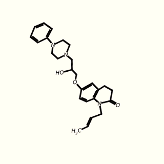 CC=CCN1C(=O)CCc2cc(OCC(O)CN3CCN(c4ccccc4)CC3)ccc21